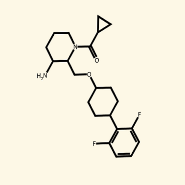 NC1CCCN(C(=O)C2CC2)C1COC1CCC(c2c(F)cccc2F)CC1